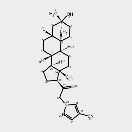 C[C@@]1(O)CC[C@@]2(C)[C@H](CC[C@@H]3[C@@H]2CC[C@]2(C)[C@@H](C(=O)Cn4cc(C#N)cn4)CC[C@@H]32)C1